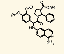 CCOc1cc(C(Nc2ccc3c(N)nccc3c2)C(=O)N2CCC(C(=O)OC)C2c2ccccc2)ccc1OC(C)C